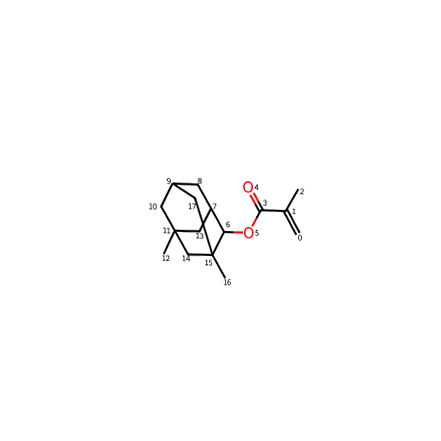 C=C(C)C(=O)OC1C2CC3CC(C)(C2)CC1(C)C3